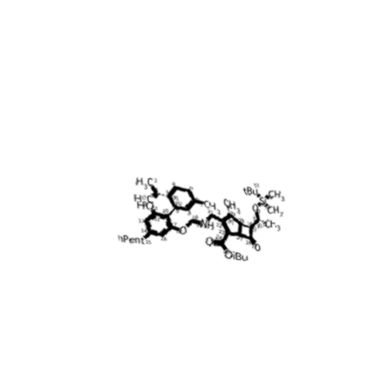 C=C(C)[C@@H]1CCC(C)=C[C@H]1c1c(O)cc(CCCCC)cc1OCNCC1=C(C(=O)OCC(C)C)C2C(=O)[C@H]([C@@H](C)O[Si](C)(C)C(C)(C)C)C2[C@H]1C